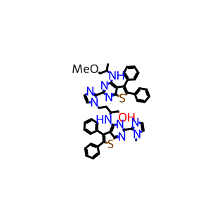 COCC(C)Nc1nc(-c2nccn2CCC(CO)Nc2nc(-c3nccn3C)nc3sc(-c4ccccc4)c(-c4ccccc4)c23)nc2sc(-c3ccccc3)c(-c3ccccc3)c12